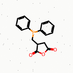 O=C1CC(CP(c2ccccc2)c2ccccc2)C(=O)O1